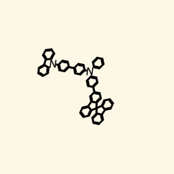 c1ccc(N(c2ccc(-c3ccc(-n4c5ccccc5c5ccccc54)cc3)cc2)c2ccc(-c3ccc4c(c3)-c3ccccc3C43c4ccccc4-c4ccccc43)cc2)cc1